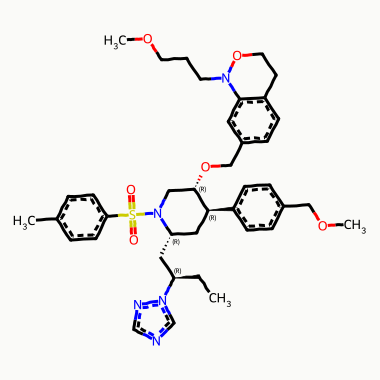 CC[C@H](C[C@H]1C[C@H](c2ccc(COC)cc2)[C@@H](OCc2ccc3c(c2)N(CCCOC)OCC3)CN1S(=O)(=O)c1ccc(C)cc1)n1cncn1